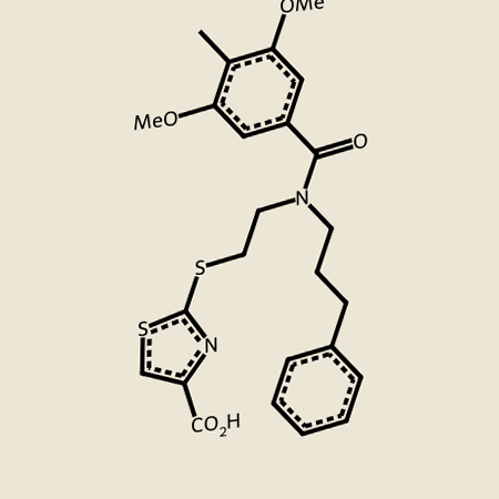 COc1cc(C(=O)N(CCCc2ccccc2)CCSc2nc(C(=O)O)cs2)cc(OC)c1C